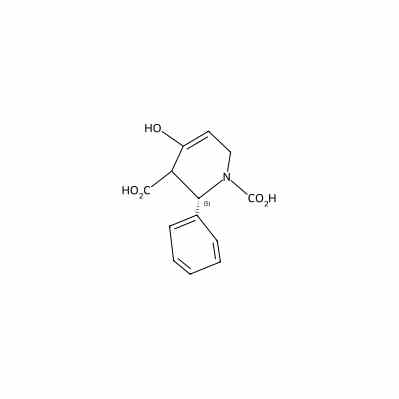 O=C(O)C1C(O)=CCN(C(=O)O)[C@@H]1c1ccccc1